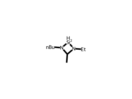 CCCCN1[SiH2]N(CC)C1C